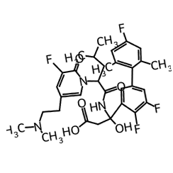 Cc1cc(F)cc(C)c1-c1cc(F)c(F)c(C(O)(CC(=O)O)NC(=O)C(CC(C)C)n2cc(CCN(C)C)cc(F)c2=O)c1